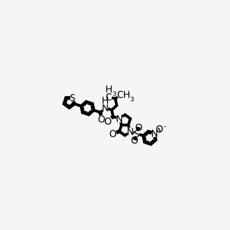 CC(C)CC(NC(=O)c1ccc(-c2cccs2)cc1)C(=O)N1CCC2C1C(=O)CN2S(=O)(=O)c1ccc[n+]([O-])c1